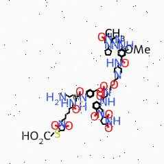 COc1cc(C(=O)NC2CCN(CCOCCN(CC(=O)Nc3cccc4c3CN(C3CCC(=O)NC3=O)C4=O)C(=O)OCc3ccc(NC(=O)[C@H](CCCN)CNC(=O)CCCCCN4C(=O)CC(SCCC(=O)O)C4=O)cc3)CC2)ccc1Nc1ncc2c(n1)N(C1CCCC1)CC(=O)N2C